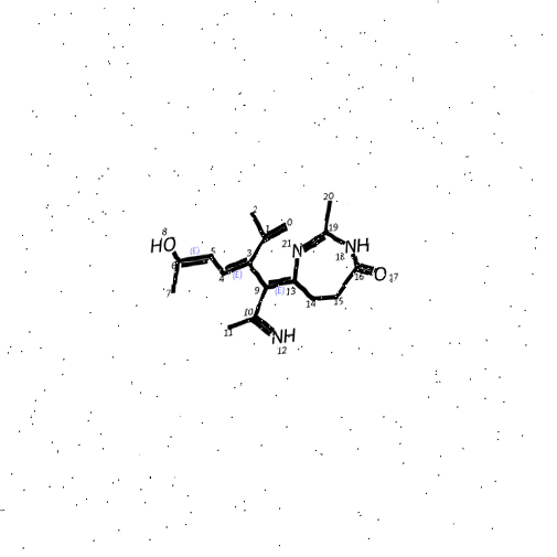 C=C(C)C(=C\C=C(/C)O)/C(C(C)=N)=C1/CCC(=O)NC(C)=N1